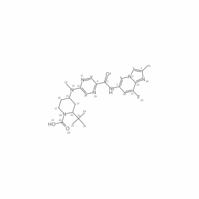 Cc1cn2cc(NC(=O)c3cnc(N(C)C4CCN(C(=O)O)C(C(C)(C)C)C4)cn3)cc(F)c2n1